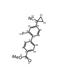 COC(=O)c1ccc(-c2ccc(C3(C#N)CC3)cc2F)cc1